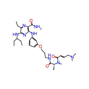 CCc1nc(C(N)=O)c(Nc2cccc(OCCCNC(=O)[C@H](C)N(C)C(=O)/C=C/CN(C)C)c2)nc1NC(CC)CC